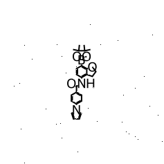 CC1(C)OB(c2ccc(NC(=O)c3ccc(-n4cccc4)cc3)c3c2OCC3)OC1(C)C